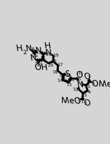 COC(=O)C1CC(C(=O)OC)N(C(=O)c2ccc(CCC3CNc4nc(N)nc(O)c4C3)s2)C1